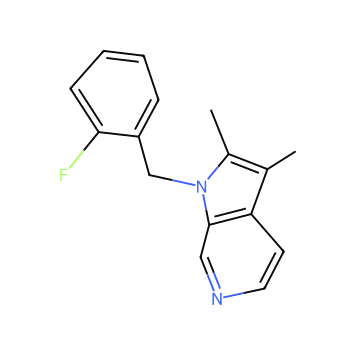 Cc1c(C)n(Cc2ccccc2F)c2cnccc12